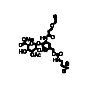 C#CCOCCC(=O)Nc1cc(COC(=O)NCCS(C)(=O)=O)ccc1O[C@@H]1O[C@H](C(=O)OC)[C@@H](O)[C@H](OC(C)=O)[C@H]1OC(C)=O